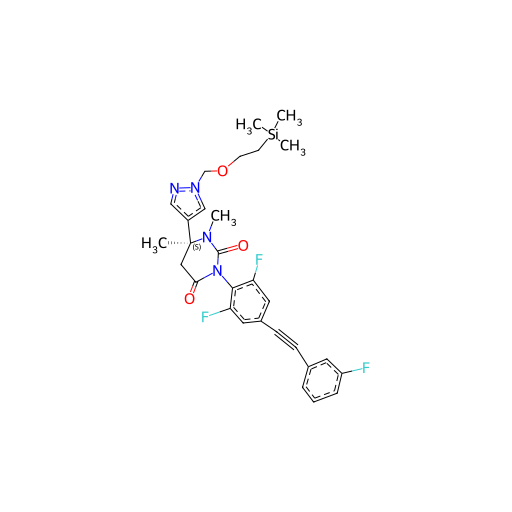 CN1C(=O)N(c2c(F)cc(C#Cc3cccc(F)c3)cc2F)C(=O)C[C@@]1(C)c1cnn(COCC[Si](C)(C)C)c1